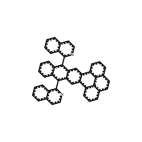 c1ccc2c(-c3c4ccccc4c(-c4nccc5ccccc45)c4cc5c(cc34)c3cccc4ccc6cccc5c6c43)nccc2c1